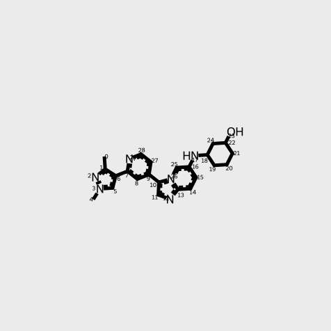 Cc1nn(C)cc1-c1cc(-c2cnc3ccc(NC4CCCC(O)C4)cn23)ccn1